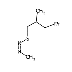 C/N=N\SCC(C)CC(C)C